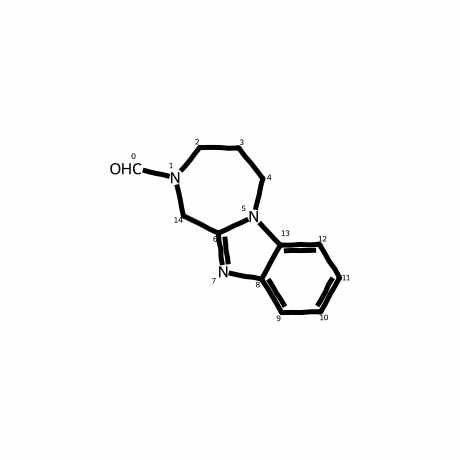 O=CN1CCCn2c(nc3ccccc32)C1